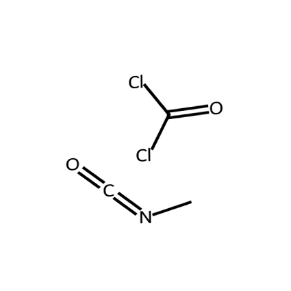 CN=C=O.O=C(Cl)Cl